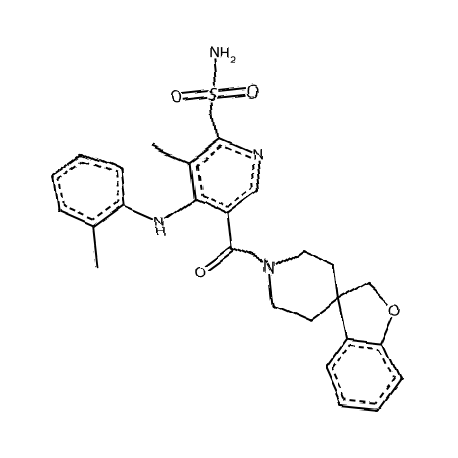 Cc1ccccc1Nc1c(C(=O)N2CCC3(CC2)COc2ccccc23)cnc(S(N)(=O)=O)c1C